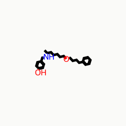 CC(CCCCCOCCCCc1ccccc1)NCc1ccc(O)cc1